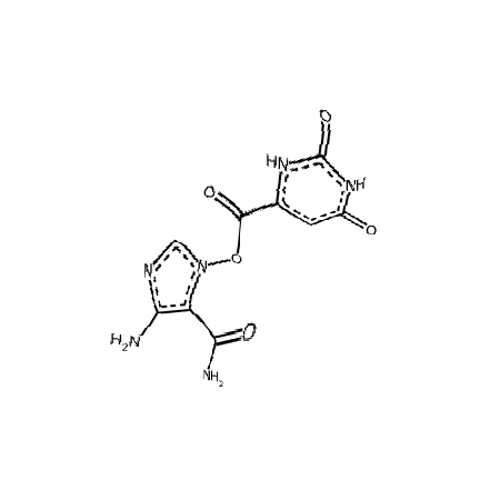 NC(=O)c1c(N)ncn1OC(=O)c1cc(=O)[nH]c(=O)[nH]1